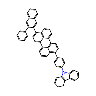 C1=Cc2c(c3ccccc3n2-c2ccc(-c3ccc4c5cccc6c(-c7cc8ccccc8cc7-c7ccccc7)ccc(c7cccc3c47)c65)cc2)CC1